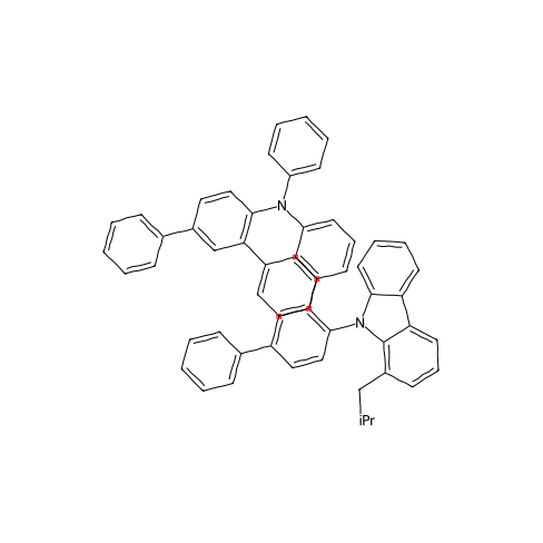 CC(C)Cc1cccc2c3ccccc3n(-c3ccc(-c4ccccc4)cc3-c3cccc(N(c4ccccc4)c4ccc(-c5ccccc5)cc4-c4ccccc4)c3)c12